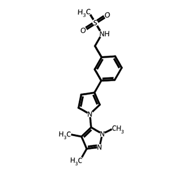 Cc1nn(C)c(-n2ccc(-c3cccc(CNS(C)(=O)=O)c3)c2)c1C